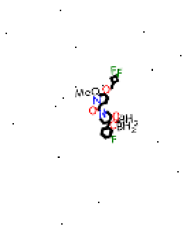 BC1(B)OC2CN(C(=O)c3ccc(OCC4CC(F)(F)C4)c(OC)n3)CCC2(c2cccc(F)c2)O1